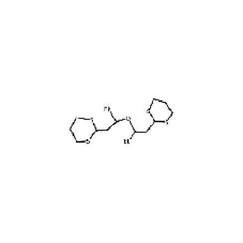 CCC(CC1SCCCS1)OC(CC)CC1SCCCS1